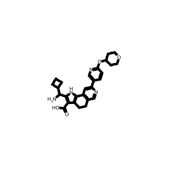 NC(c1[nH]c2c(c1C(=O)O)CCc1cnc(-c3ccc(OC4CCOCC4)nc3)cc1-2)C1CCC1